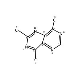 Clc1nc(Cl)c2ncnc(Cl)c2n1